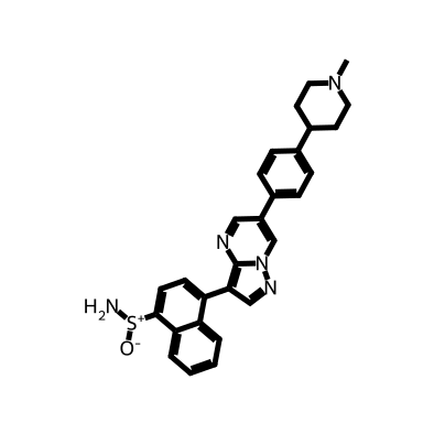 CN1CCC(c2ccc(-c3cnc4c(-c5ccc([S+](N)[O-])c6ccccc56)cnn4c3)cc2)CC1